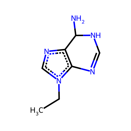 CCn1cnc2c1N=CNC2N